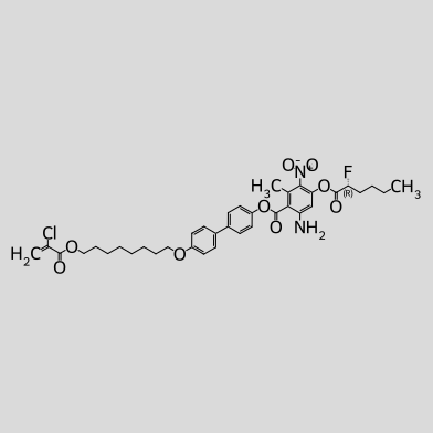 C=C(Cl)C(=O)OCCCCCCCCOc1ccc(-c2ccc(OC(=O)c3c(N)cc(OC(=O)[C@H](F)CCCC)c([N+](=O)[O-])c3C)cc2)cc1